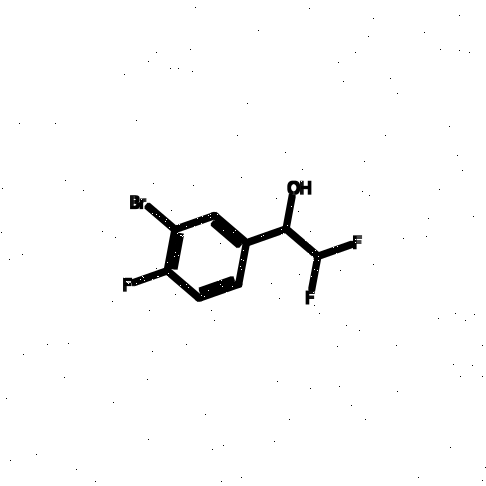 OC(c1ccc(F)c(Br)c1)C(F)F